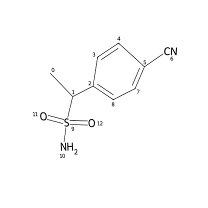 CC(c1ccc(C#N)cc1)S(N)(=O)=O